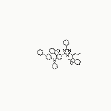 C=C/C=C(/c1nc(-c2ccccc2)nc(-c2ccc(N(c3ccccc3)c3ccc(-c4ccccc4)cc3)c3c2oc2ccccc23)n1)c1c(C)oc2ccccc12